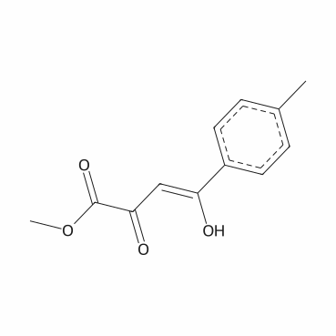 COC(=O)C(=O)C=C(O)c1ccc(C)cc1